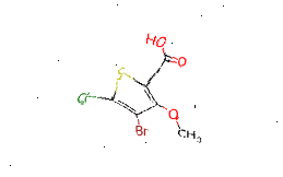 COc1c(C(=O)O)sc(Cl)c1Br